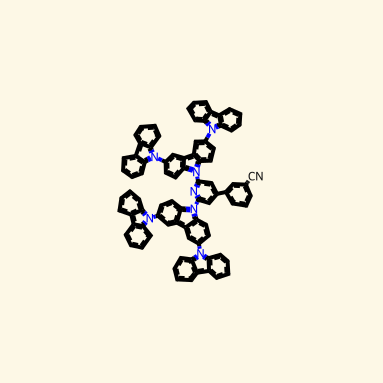 N#Cc1cccc(-c2cc(-n3c4ccc(-n5c6ccccc6c6ccccc65)cc4c4cc(-n5c6ccccc6c6ccccc65)ccc43)nc(-n3c4ccc(-n5c6ccccc6c6ccccc65)cc4c4cc(-n5c6ccccc6c6ccccc65)ccc43)c2)c1